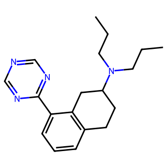 CCCN(CCC)C1CCc2cccc(-c3ncncn3)c2C1